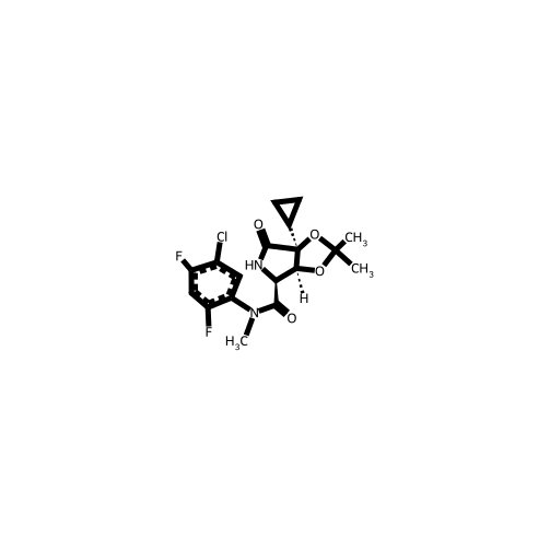 CN(C(=O)[C@H]1NC(=O)[C@@]2(C3CC3)OC(C)(C)O[C@@H]12)c1cc(Cl)c(F)cc1F